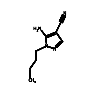 CCCCn1ncc(C#N)c1N